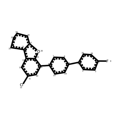 Fc1ccc(-c2ccc(-c3cc(Cl)cc4c3oc3ccccc34)cc2)cc1